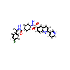 C[C@@H](NC(=O)[C@H]1CC[C@H](NS(=O)(=O)c2ccc3nc(-c4cccnc4)ccc3c2)CC1)c1ccc(F)cc1